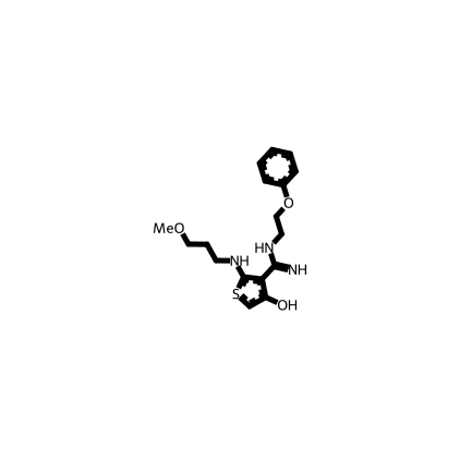 COCCCNc1scc(O)c1C(=N)NCCOc1ccccc1